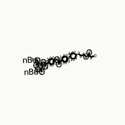 C=CC(=O)OCCC[C@H]1CC[C@H](c2ccc(C(=O)Oc3ccc(C4O[C@@H](C(=O)OCCCC)[C@H](C(=O)OCCCC)O4)cc3)cc2)CC1